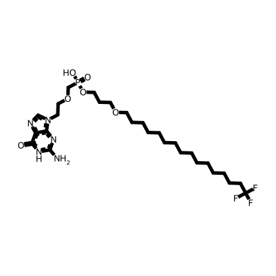 Nc1nc2c(ncn2CCOCP(=O)(O)OCCCOCCCCCCCCCCCCCCCC(F)(F)F)c(=O)[nH]1